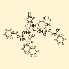 CC(C)CC(NC(=O)[C@@H](Cc1c[nH]cn1)NC(=O)[C@H](Cc1cccc2ccccc12)NC(=O)OCc1ccccc1)C(O)CC(=O)OCC(=O)c1ccccc1